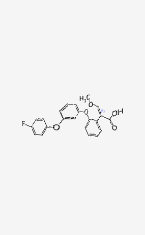 CO/C=C(/C(=O)O)c1ccccc1Oc1cccc(Oc2ccc(F)cc2)c1